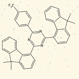 CC1(C)c2ccccc2-c2c(-c3nc(-c4ccc(C(F)(F)F)cc4)nc(-c4cccc5c4-c4ccccc4C5(C)C)n3)cccc21